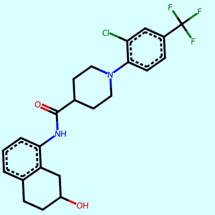 O=C(Nc1cccc2c1CC(O)CC2)C1CCN(c2ccc(C(F)(F)F)cc2Cl)CC1